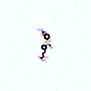 CC(C)CN(c1cccc(CCC(O)C(N)=O)c1)S(=O)(=O)c1ccc2nc(N)oc2c1